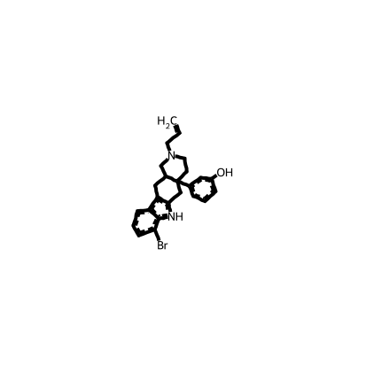 C=CCN1CCC2(c3cccc(O)c3)Cc3[nH]c4c(Br)cccc4c3CC2C1